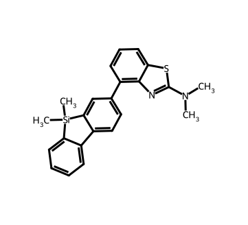 CN(C)c1nc2c(-c3ccc4c(c3)[Si](C)(C)c3ccccc3-4)cccc2s1